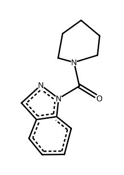 O=C(N1CCCCC1)n1ncc2ccccc21